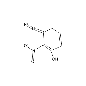 [N-]=[N+]=C1CC=CC(O)=C1[N+](=O)[O-]